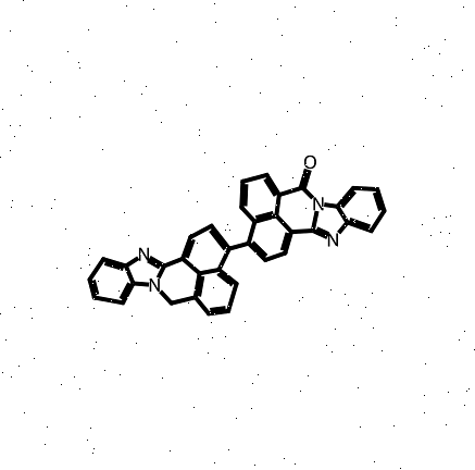 O=c1c2cccc3c(-c4ccc5c6c(cccc46)Cn4c-5nc5ccccc54)ccc(c32)c2nc3ccccc3n12